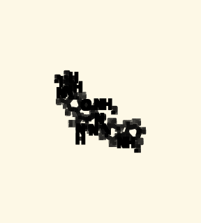 [2H]C([2H])([2H])n1ncc2cc(-c3c[nH]c4nc(N5CCC(N)(c6ccccc6)CC5)nc(C(N)=O)c34)ccc21